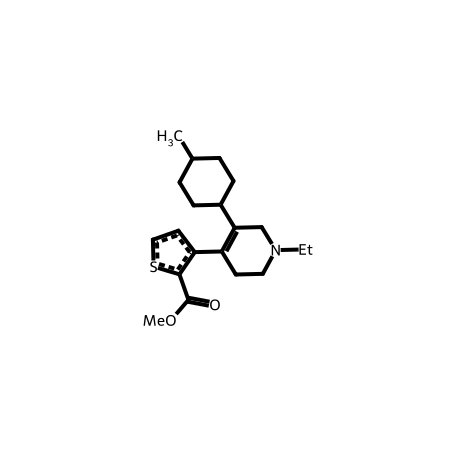 CCN1CCC(c2ccsc2C(=O)OC)=C(C2CCC(C)CC2)C1